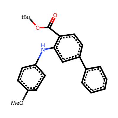 COc1ccc(Nc2cc(-c3ccccc3)ccc2C(=O)OC(C)(C)C)cc1